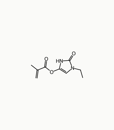 C=C(C)C(=O)Oc1cn(CC)c(=O)[nH]1